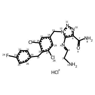 Cl.NCC=Nc1c(C(N)=O)nnn1Cc1cc(Cl)c(Cc2ccc(F)cc2)c(Cl)c1